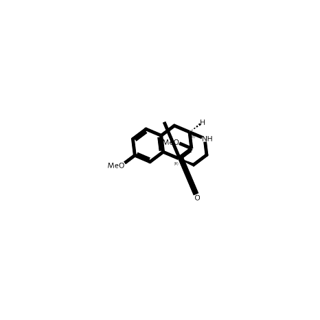 COc1ccc2c(c1)[C@]13CCN[C@H](C2)C1(OC)CCC(=O)C3